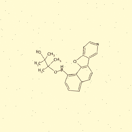 CC(C)(O)C(C)(C)OBc1cccc2ccc3c4cnccc4oc3c12